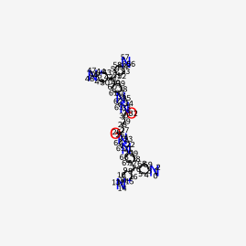 CN(C)c1ccc(C(=C2C=CC(=[N+](C)C)C=C2)c2ccc(N3CCN(C(=O)CCCCC(=O)N4CCN(c5ccc(C(=C6C=CC(=[N+](C)C)C=C6)c6ccc(N(C)C)cc6)cc5)CC4)CC3)cc2)cc1